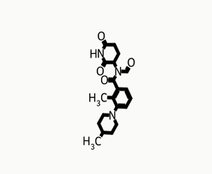 Cc1c(C(=O)N(C=O)C2CCC(=O)NC2=O)cccc1N1CCC(C)CC1